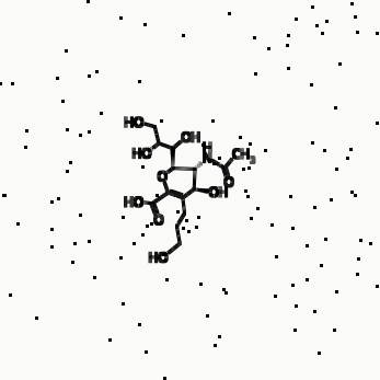 CC(=O)N[C@@H]1[C@@H](O)C(CCCO)=C(C(=O)O)O[C@H]1C(O)C(O)CO